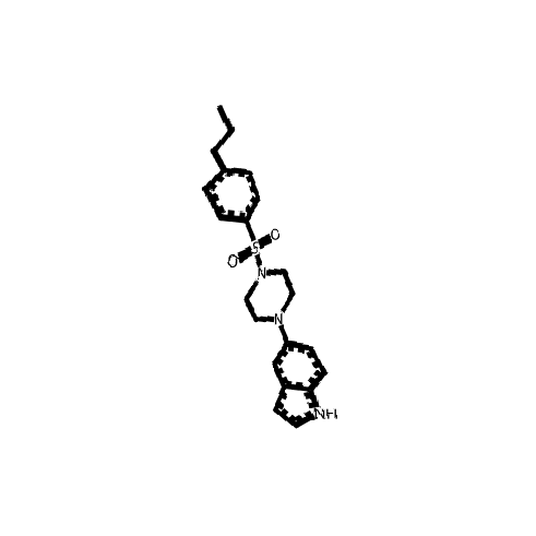 CCCc1ccc(S(=O)(=O)N2CCN(c3ccc4[nH]ccc4c3)CC2)cc1